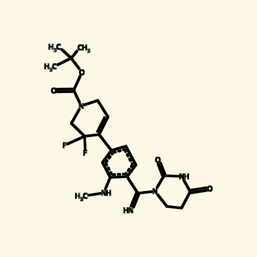 CNc1cc(C2=CCN(C(=O)OC(C)(C)C)CC2(F)F)ccc1C(=N)N1CCC(=O)NC1=O